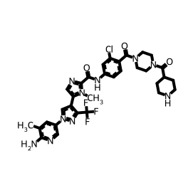 Cc1cc(-n2cc(-c3cnc(C(=O)Nc4ccc(C(=O)N5CCN(C(=O)C6CCNCC6)CC5)c(Cl)c4)n3C)c(C(F)(F)F)n2)cnc1N